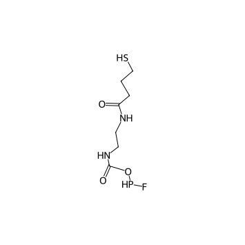 O=C(CCCS)NCCNC(=O)OPF